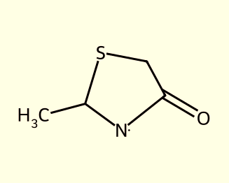 CC1[N]C(=O)CS1